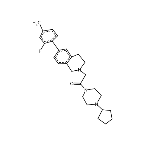 Cc1ccc(-c2ccc3c(c2)CCN(CC(=O)N2CCN(C4CCCC4)CC2)C3)c(F)c1